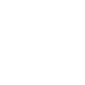 CCc1ccc(CC)c([N+](=O)[O-])c1C(=O)c1ccccc1